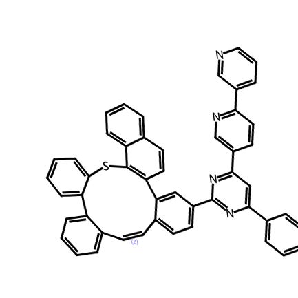 C1=C\c2ccc(-c3nc(-c4ccccc4)cc(-c4ccc(-c5cccnc5)nc4)n3)cc2-c2ccc3ccccc3c2Sc2ccccc2-c2ccccc2/1